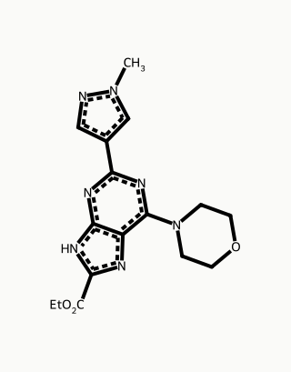 CCOC(=O)c1nc2c(N3CCOCC3)nc(-c3cnn(C)c3)nc2[nH]1